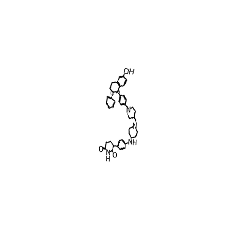 O=C1CCC(c2ccc(NC3CCN(CC4CCN(c5ccc([C@@H]6c7ccc(O)cc7CC[C@@H]6c6ccccc6)cc5)CC4)CC3)cc2)C(=O)N1